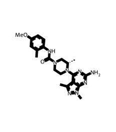 COc1ccc(NC(=O)N2CCN(c3nc(N)nc4c3c(C)nn4C)[C@@H](C)C2)c(C)c1